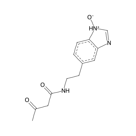 CC(=O)CC(=O)NCCc1ccc2c(c1)N=C[NH+]2[O-]